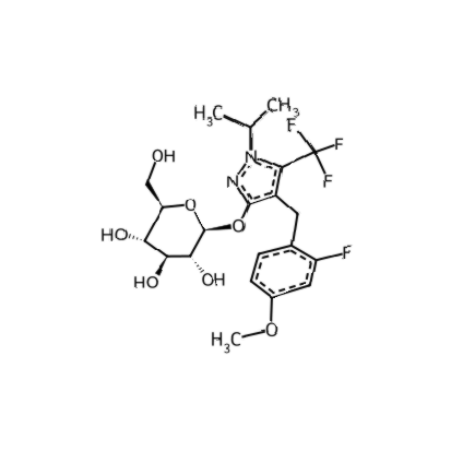 COc1ccc(Cc2c(O[C@@H]3O[C@H](CO)[C@@H](O)[C@H](O)[C@H]3O)nn(C(C)C)c2C(F)(F)F)c(F)c1